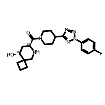 O=C([C@@H]1C[C@@H](O)C2(CCC2)CN1)N1CCC(c2nnn(-c3ccc(F)cc3)n2)CC1